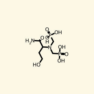 NC(=O)C(CCO)N(CP(=O)(O)O)CP(=O)(O)O